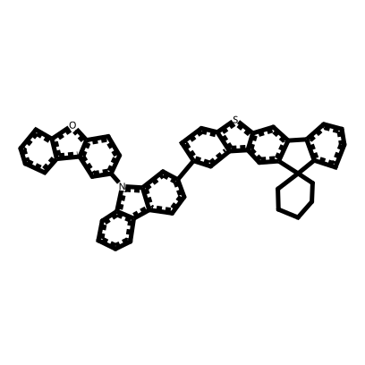 c1ccc2c(c1)-c1cc3sc4ccc(-c5ccc6c7ccccc7n(-c7ccc8oc9ccccc9c8c7)c6c5)cc4c3cc1C21CCCCC1